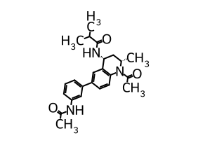 CC(=O)Nc1cccc(-c2ccc3c(c2)[C@H](NC(=O)C(C)C)C[C@H](C)N3C(C)=O)c1